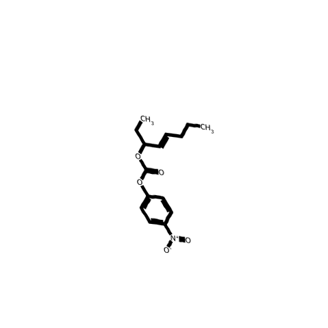 CCC/C=C/C(CC)OC(=O)Oc1ccc([N+](=O)[O-])cc1